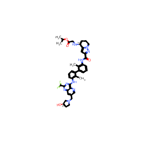 Cc1c(NC(=O)c2cc3n(n2)CCC[C@@H]3NCC(=O)OC(C)C)cccc1-c1cccc(Nc2nc(C(F)F)nc3cc(CN4CC[C@@H](O)C4)cnc23)c1C